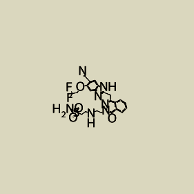 N#Cc1cc2[nH]c(Cc3nn(CCNCCS(N)(=O)=O)c(=O)c4ccccc34)nc2cc1OCC(F)F